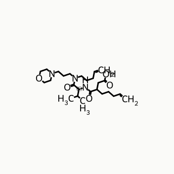 C=CCCCC(CC(=O)O)C(=O)N[C@H](C(=O)N(CCCC=C)CCCN1CCOCC1)C(C)C